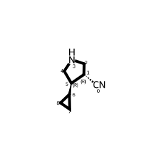 N#C[C@H]1CNC[C@@H]1C1CC1